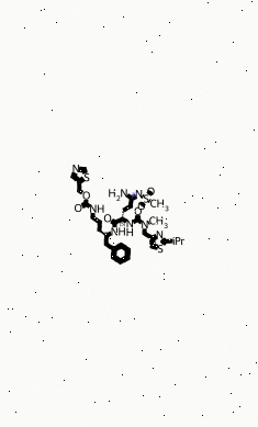 CC(C)c1nc(CN(C)C(=O)N[C@@H](CC/C(N)=N\S(C)(=O)=O)C(=O)N[C@H](CCCNC(=O)OCc2cncs2)Cc2ccccc2)cs1